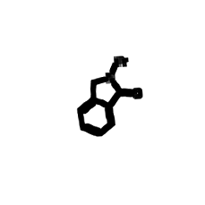 CC(C)N1Cc2ccccc2C1=O